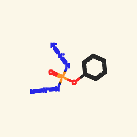 [N-]=[N+]=NP(=O)(N=[N+]=[N-])Oc1ccccc1